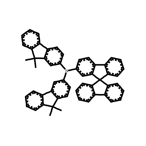 CC1(C)c2ccccc2-c2cc(N(c3ccc4c(c3)C(C)(C)c3ccccc3-4)c3ccc4c(c3)C3(c5ccccc5-c5ccccc53)c3ccccc3-4)ccc21